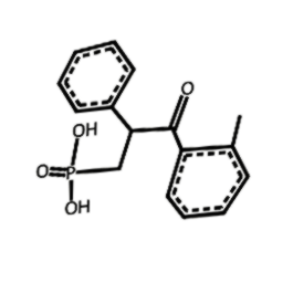 Cc1ccccc1C(=O)C(CP(=O)(O)O)c1ccccc1